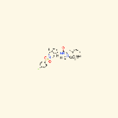 CC(C[C@@H](C(=O)N[C@H]1CC[C@@H]2CN(S(=O)(=O)c3ccc(F)cc3)C[C@@H]21)N(C)C(=O)O)CC(C)(C)C